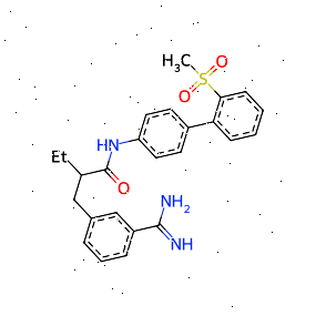 CCC(Cc1cccc(C(=N)N)c1)C(=O)Nc1ccc(-c2ccccc2S(C)(=O)=O)cc1